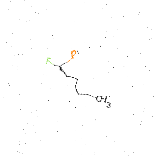 CCCCC(F)[P]